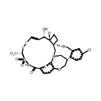 CCCCc1cc(Cl)ccc1[C@@H]1COc2ccc3cc2N(C1)C[C@@H]1CC[C@H]1[C@@H](O)/C=C/CC[C@@H](C)S(=O)(=O)NC3=O